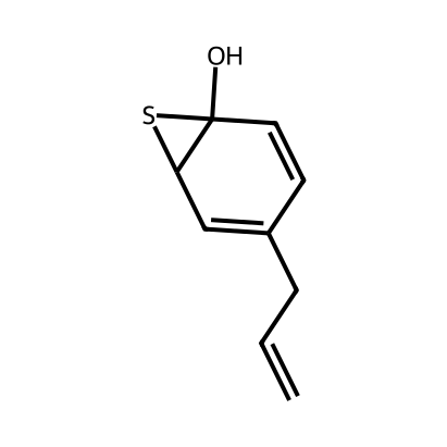 C=CCC1=CC2SC2(O)C=C1